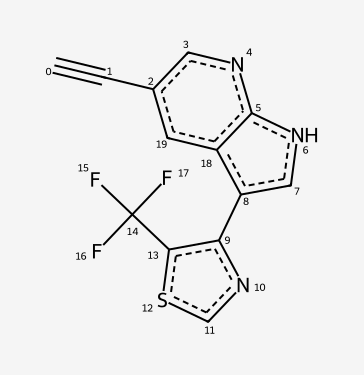 C#Cc1cnc2[nH]cc(-c3ncsc3C(F)(F)F)c2c1